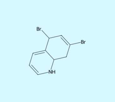 BrC1=CC(Br)C2=CC=CNC2C1